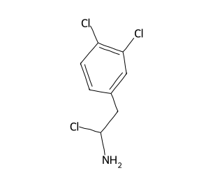 NC(Cl)Cc1ccc(Cl)c(Cl)c1